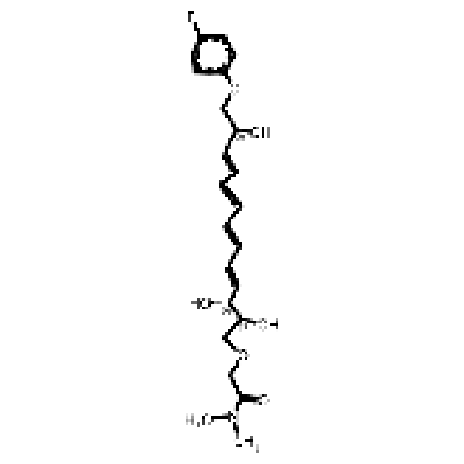 CN(C)C(=O)COC[C@H](O)[C@H](O)C=CC=CC=CC=C[C@H](O)COc1ccc(F)cc1